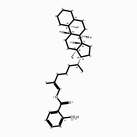 CC(=COC(=O)c1ccccc1C(=O)O)CCCC(C)[C@H]1CC[C@H]2[C@@H]3CCC4CCCC[C@]4(C)[C@H]3CC[C@]12C